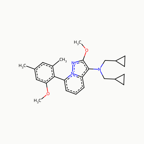 COc1cc(C)cc(C)c1-c1cccc2c(N(CC3CC3)CC3CC3)c(OC)nn12